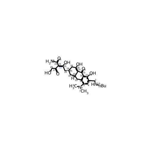 CCCCNCc1cc(N(C)C)c2c(c1O)C(=O)C1=C(O)C[C@H](C/C(O)=C(/C(N)=O)C(=O)CO)C[C@@H]1C2